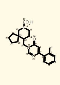 Cc1ccccc1-c1cc(=O)n(CC2CCN(C(=O)O)CC23CCCC3)cn1